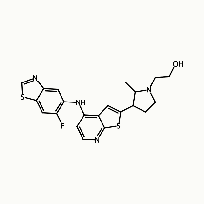 CC1C(c2cc3c(Nc4cc5ncsc5cc4F)ccnc3s2)CCN1CCO